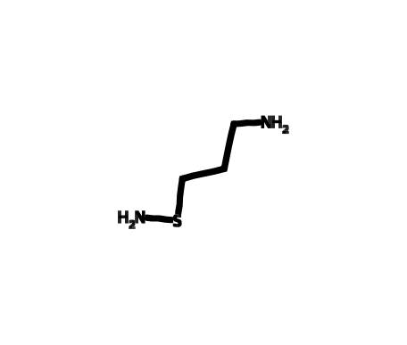 NCCCSN